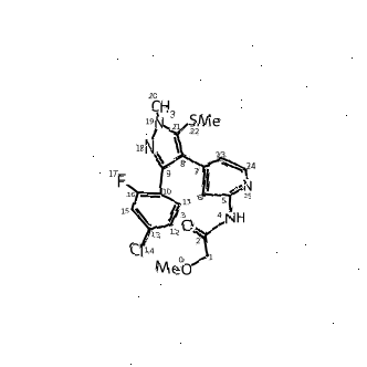 COCC(=O)Nc1cc(-c2c(-c3ccc(Cl)cc3F)nn(C)c2SC)ccn1